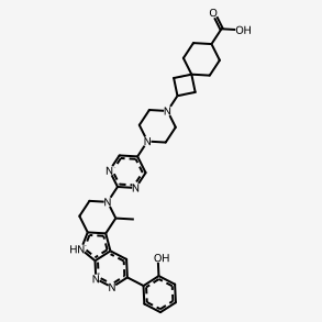 CC1c2c([nH]c3nnc(-c4ccccc4O)cc23)CCN1c1ncc(N2CCN(C3CC4(CCC(C(=O)O)CC4)C3)CC2)cn1